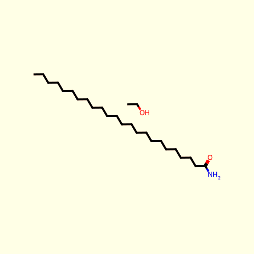 CCCCCCCCCCCCCCCCCCCCCCCC(N)=O.CCO